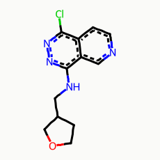 Clc1nnc(NCC2CCOC2)c2cnccc12